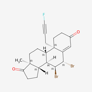 C[C@]12CC[C@H]3[C@@H]([C@H](Br)[C@@H](Br)C4=CC(=O)CC[C@@]43CC#CF)[C@@H]1CCC2=O